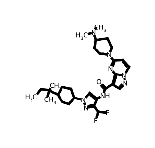 CCC(C)(C)C1CCC(n2cc(NC(=O)c3cnn4ccc(N5CCC(N(C)C)CC5)nc34)c(C(F)F)n2)CC1